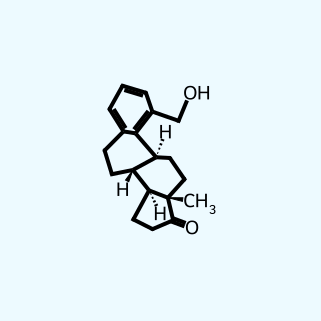 C[C@]12CC[C@@H]3c4c(CO)cccc4CC[C@H]3[C@@H]1CCC2=O